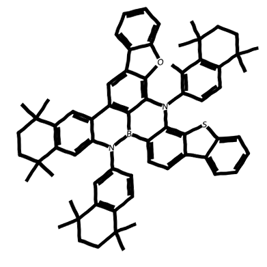 Cc1c(N2c3c4c(cc5c3oc3ccccc35)-c3cc5c(cc3N(c3ccc6c(c3)C(C)(C)CCC6(C)C)B4c3ccc4c(sc6ccccc64)c32)C(C)(C)CCC5(C)C)ccc2c1C(C)(C)CCC2(C)C